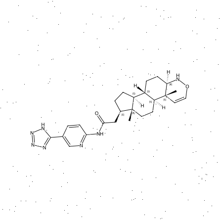 C[C@]12C=CON[C@@H]1CC[C@@H]1[C@@H]2CC[C@]2(C)[C@@H](CC(=O)Nc3ccc(-c4nnn[nH]4)cn3)CC[C@@H]12